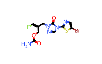 NC(=O)OC/C(=C\F)Cn1ncn(-c2ncc(Br)s2)c1=O